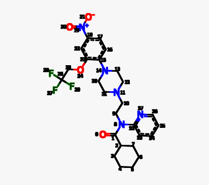 O=C(C1CCCCC1)N(CCN1CCN(c2ccc([N+](=O)[O-])cc2OCC(F)(F)F)CC1)c1ccccn1